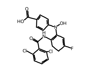 O=C(O)c1ccc(N(O)C2=C(NC(=O)c3c(Cl)cccc3Cl)CCC(F)=C2)cc1